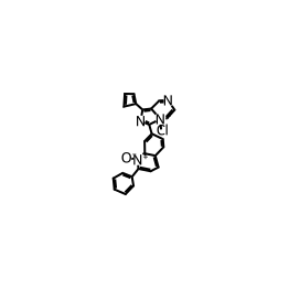 [O-][n+]1c(-c2ccccc2)ccc2ccc(C3=NC(C4=CC=C4)=C4C=NC=C[N+]34Cl)cc21